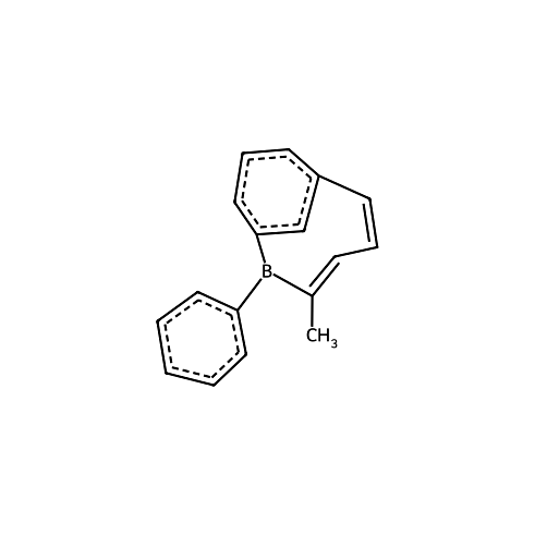 C/C1=C\C=C/c2cccc(c2)B1c1ccccc1